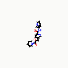 O=C(N[C@@H]1CC2CCN(C2)C1)c1cc2oc(C(=O)N3CCCCC3)cc2cn1